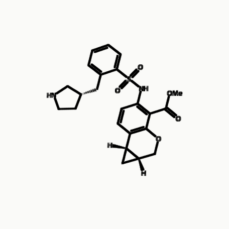 COC(=O)c1c(NS(=O)(=O)c2ccccc2C[C@@H]2CCNC2)ccc2c1OC[C@@H]1C[C@H]21